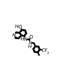 Cc1ccc(CNC(=O)Nc2ccc(O)c3cnccc23)cc1C(F)(F)F